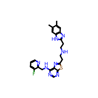 Cc1cc2nc(CCNCCc3nc4c(NCc5ncccc5F)ncnc4s3)[nH]c2cc1C